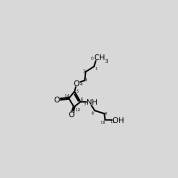 CCCCOc1c(NCCCO)c(=O)c1=O